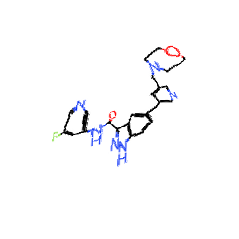 O=C(Nc1cncc(F)c1)c1n[nH]c2ccc(-c3cncc(CN4CCOCC4)c3)cc12